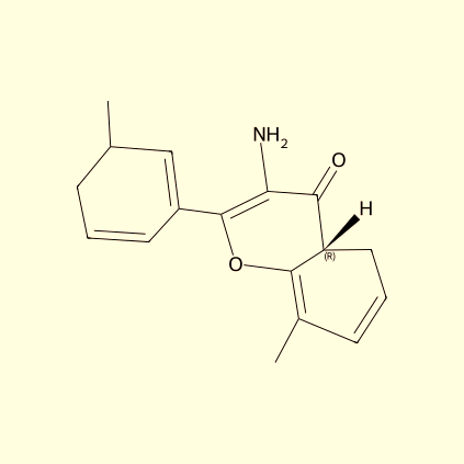 CC1=C2OC(C3=CC(C)CC=C3)=C(N)C(=O)[C@@H]2CC=C1